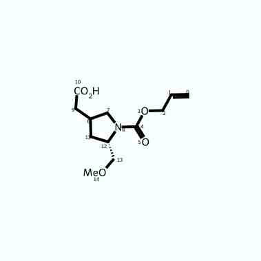 C=CCOC(=O)N1CC(CC(=O)O)C[C@H]1COC